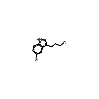 ClCCCc1c[nH]c2ccc(Br)cc12